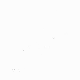 CNC(=O)c1cnnc(S(=O)(=O)NC(=O)Nc2c(C(C)C)cc(Cl)cc2C(C)C)c1